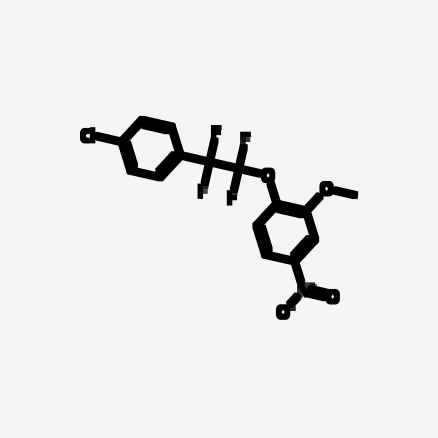 COc1cc([N+](=O)[O-])ccc1OC(F)(F)C(F)(F)c1ccc(Cl)cc1